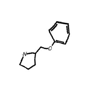 c1ccc(OCC2CCC[N]2)cc1